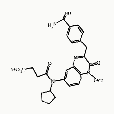 Cl.Cn1c(=O)c(Cc2ccc(C(=N)N)cc2)nc2cc(N(C(=O)CCC(=O)O)C3CCCC3)ccc21